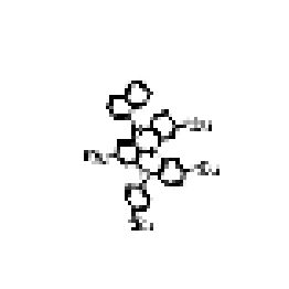 CC(C)(C)c1ccc(N2c3ccc(C(C)(C)C)cc3B3c4cc(C(C)(C)C)ccc4N(c4cccc5ccccc45)c4cc(C(C)(C)C)cc2c43)cc1